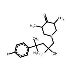 CC1CN(CC(O)(CC(C)(C)c2ccc(F)cc2)C(F)(F)F)CC(C)C1=O